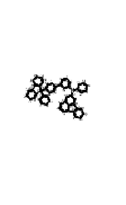 c1ccc(N(c2cccc(-c3ccc(C4(c5ccccc5)c5ccccc5-c5ccccc54)cc3)c2)c2cc3c4c(cccc4c2)-c2ccccc2-3)cc1